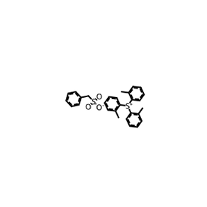 Cc1ccccc1[S+](c1ccccc1C)c1ccccc1C.O=S(=O)([O-])Cc1ccccc1